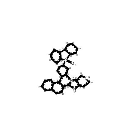 O=P1(c2ccc3c4c5ccccc5ccc4c4nc5ccccc5n4c3c2)c2ccccc2-c2ccccc21